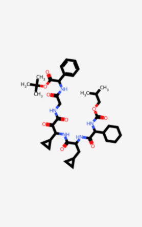 CC(C)COC(=O)NC(C(=O)NC(CC1CC1)C(=O)NC(C(=O)C(=O)NCC(=O)NC(C(=O)OC(C)(C)C)c1ccccc1)C1CC1)C1CCCCC1